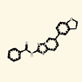 O=C(Nc1nc2ccc(-c3ccc4c(c3)CCO4)cn2n1)c1ccccc1